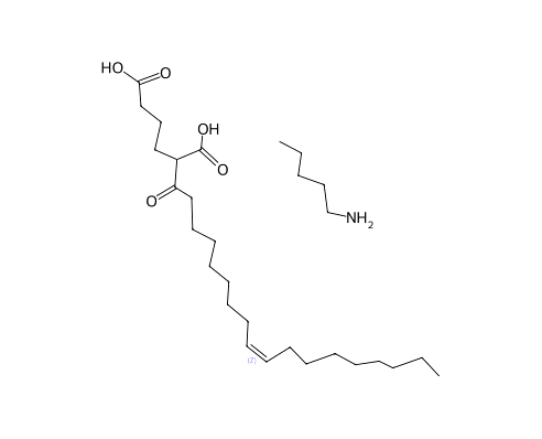 CCCCCCCC/C=C\CCCCCCCC(=O)C(CCCC(=O)O)C(=O)O.CCCCCN